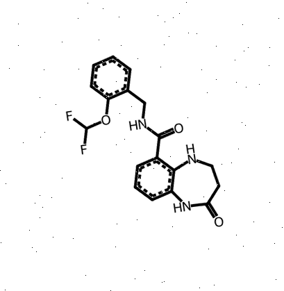 O=C1CCNc2c(cccc2C(=O)NCc2ccccc2OC(F)F)N1